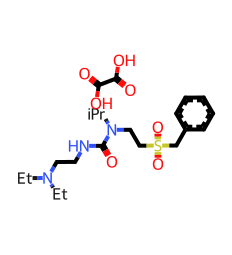 CCN(CC)CCNC(=O)N(CCS(=O)(=O)Cc1ccccc1)C(C)C.O=C(O)C(=O)O